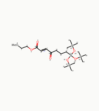 COCCOC(=O)/C=C/C(=O)CCC[Si](O[Si](C)(C)C)(O[Si](C)(C)C)O[Si](C)(C)C